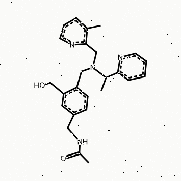 CC(=O)NCc1ccc(CN(Cc2ncccc2C)C(C)c2ccccn2)c(CO)c1